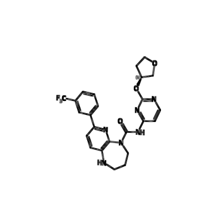 O=C(Nc1ccnc(O[C@H]2CCOC2)n1)N1CCCNc2ccc(-c3cccc(C(F)(F)F)c3)nc21